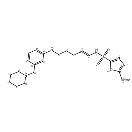 CC(=O)Nc1nnc(S(=O)(=O)N/C=N/CCCOc2cccc(CN3CCCCC3)c2)s1